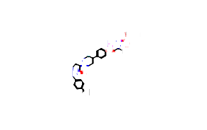 Cc1ccc(CN2CC[C@@H](N3CCC(c4ccc(OC(=O)C(NC(=O)OC(C)(C)C)C(C)C)cc4)C(F)C3)C2=O)cc1